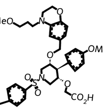 COCCCN1CCOc2ccc(CO[C@H]3CN(S(=O)(=O)c4ccc(C)cc4)C[C@@H](OCC(=O)O)[C@@H]3c3ccc(OC)cc3)cc21